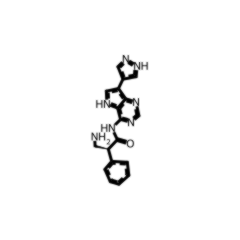 NC[C@@H](C(=O)Nc1ncnc2c(-c3cn[nH]c3)c[nH]c12)c1ccccc1